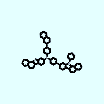 c1ccc(-n2c3cc(-c4ccc(N(c5ccc(-c6ccc7ccccc7c6)cc5)c5ccc6c(c5)oc5c7ccccc7ccc65)cc4)ccc3c3ccc4ccccc4c32)cc1